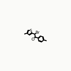 Cc1ccc(C(=O)C(Br)c2cc(C)cs2)cc1